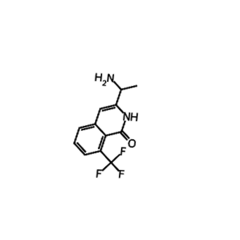 CC(N)c1cc2cccc(C(F)(F)F)c2c(=O)[nH]1